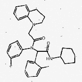 Cc1ccccc1C(C(=O)NC1CCCCC1)N(C(=O)CN1CCCc2ccccc21)c1cccc(F)c1